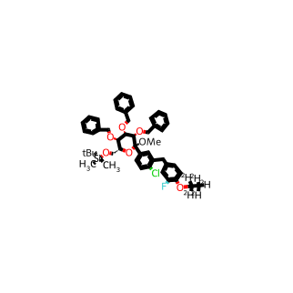 [2H]C([2H])([2H])C([2H])([2H])Oc1ccc(Cc2cc([C@]3(OC)O[C@H](CO[Si](C)(C)C(C)(C)C)[C@@H](OCc4ccccc4)[C@H](OCc4ccccc4)[C@H]3OCc3ccccc3)ccc2Cl)cc1F